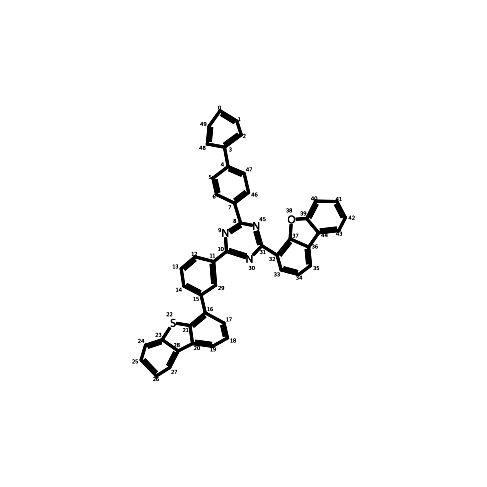 c1ccc(-c2ccc(-c3nc(-c4cccc(-c5cccc6c5sc5ccccc56)c4)nc(-c4cccc5c4oc4ccccc45)n3)cc2)cc1